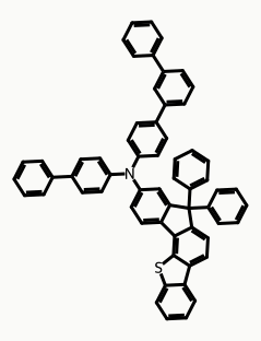 c1ccc(-c2ccc(N(c3ccc(-c4cccc(-c5ccccc5)c4)cc3)c3ccc4c(c3)C(c3ccccc3)(c3ccccc3)c3ccc5c(sc6ccccc65)c3-4)cc2)cc1